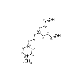 CN1CCN(CCCN(CCCO)CCCO)CC1